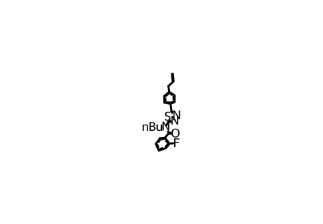 C=CCc1ccc(-c2nnc(N(CCCC)C(=O)c3ccccc3F)s2)cc1